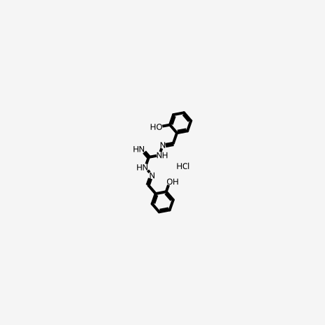 Cl.N=C(NN=Cc1ccccc1O)NN=Cc1ccccc1O